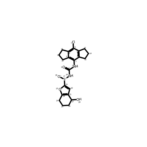 O=C(Nc1c2c(c(Cl)c3c1CCC3)CCC2)N[S+]([O-])c1cc2c(o1)CCCC2O